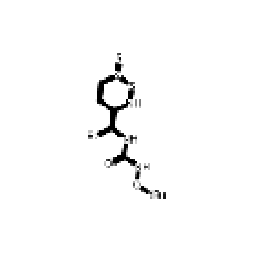 CCC(NC(=O)NOC(C)(C)C)C1CCS(=S)SN1